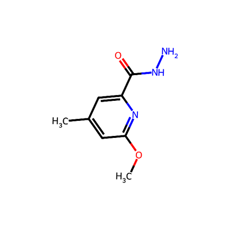 COc1cc(C)cc(C(=O)NN)n1